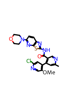 COc1cnc(Cl)cc1-c1cc(C)ncc1C(=O)Nc1nc2ccc(N3CCOCC3)nc2s1